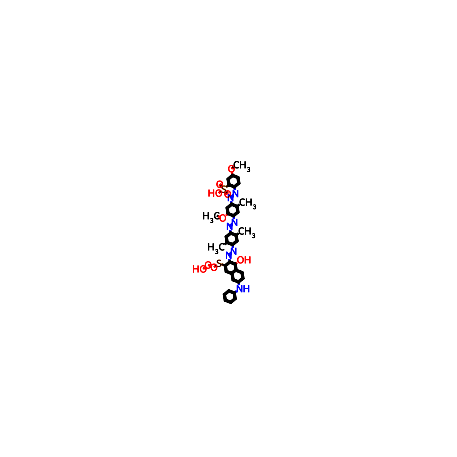 COc1ccc(N=Nc2cc(OC)c(N=Nc3cc(C)c(N=Nc4c(SOOO)cc5cc(Nc6ccccc6)ccc5c4O)cc3C)cc2C)c(S(=O)(=O)O)c1